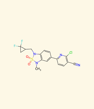 CN1c2cc(-c3ccc(C#N)c(Cl)n3)ccc2N(CC2CC2(F)F)S1(=O)=O